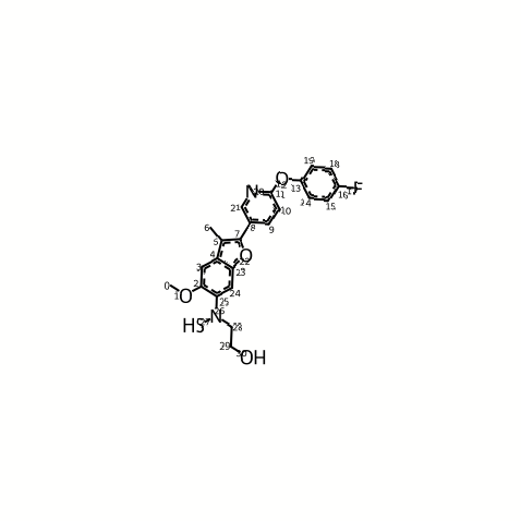 COc1cc2c(C)c(-c3ccc(Oc4ccc(F)cc4)nc3)oc2cc1N(S)CCO